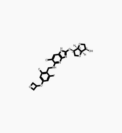 O[C@@H]1CO[C@H]2[C@@H]1OC[C@H]2Oc1nc2nc(NCc3c(F)cc(OC4COC4)cc3F)c(Cl)cc2[nH]1